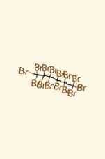 BrC(Br)(Br)C(Br)(Br)C(Br)(Br)C(Br)(Br)C(Br)(Br)C(Br)(Br)Br